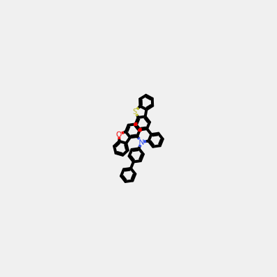 c1ccc(-c2ccc(N(c3ccccc3-c3ccc4sc5ccccc5c4c3)c3cccc4oc5ccccc5c34)cc2)cc1